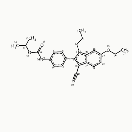 CCCn1c(-c2ccc(NC(=O)OC(C)C)cc2)c(C#N)c2ccc(OCC)cc21